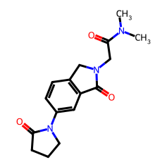 CN(C)C(=O)CN1Cc2ccc(N3CCCC3=O)cc2C1=O